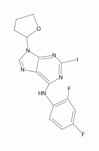 Fc1ccc(Nc2nc(I)nc3c2ncn3C2CCCO2)c(F)c1